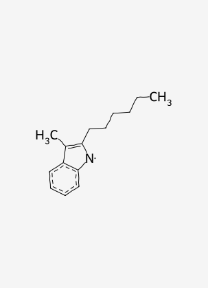 CCCCCCC1=C(C)c2ccccc2[N]1